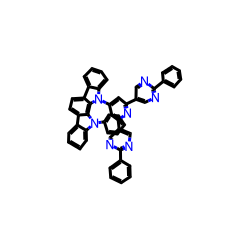 c1ccc(-c2ncc(-c3cc(-n4c5ccccc5c5ccc6c7ccccc7n(-c7ccccc7)c6c54)cc(-c4cnc(-c5ccccc5)nc4)n3)cn2)cc1